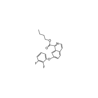 CCCCOC(=O)c1nccc2ccc(Oc3cccc(F)c3F)cc12